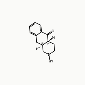 CC(C)N1CC[C@H]2C(=O)c3ccccc3C[C@@H]2C1